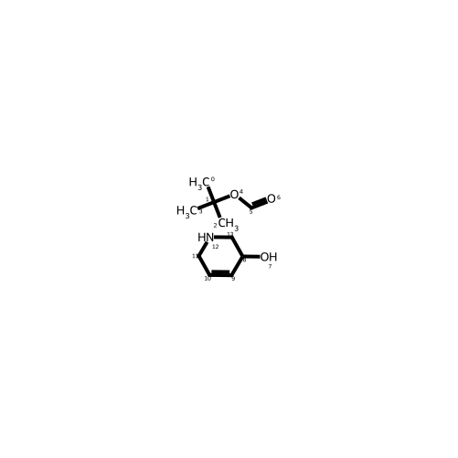 CC(C)(C)OC=O.OC1C=CCNC1